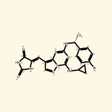 C[C@@H](Nc1nc(NC2CC2)n2ncc(/C=C3\NC(=O)NC3=O)c2n1)c1ccc(Br)cc1